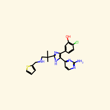 CC(C)(CNCc1cccs1)c1nc(-c2ccc(Cl)c(O)c2)c(-c2ccnc(N)n2)[nH]1